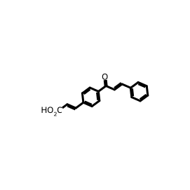 O=C(O)C=Cc1ccc(C(=O)C=Cc2ccccc2)cc1